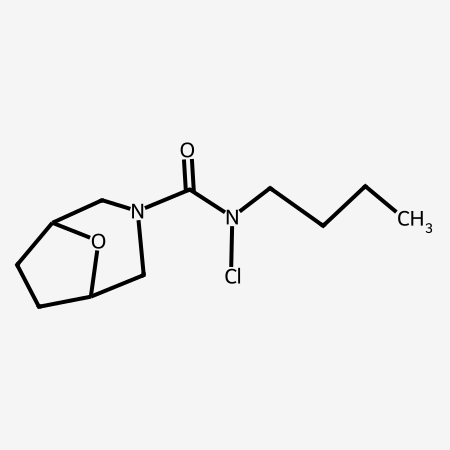 CCCCN(Cl)C(=O)N1CC2CCC(C1)O2